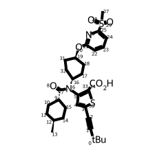 CC(C)(C)C#Cc1cc(N(C(=O)[C@H]2CC[C@H](C)CC2)[C@H]2CC[C@H](Oc3cccc(S(C)(=O)=O)n3)CC2)c(C(=O)O)s1